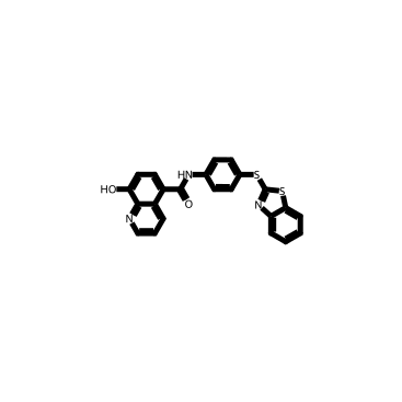 O=C(Nc1ccc(Sc2nc3ccccc3s2)cc1)c1ccc(O)c2ncccc12